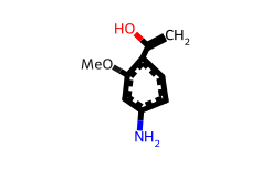 C=C(O)c1ccc(N)cc1OC